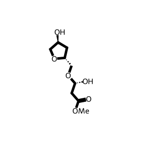 COC(=O)C[C@@H](O)OC[C@H]1C[C@H](O)CO1